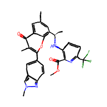 COC(=O)c1nc(C(F)(F)F)ccc1N[C@H](C)c1cc(C)cc2c(=O)c(C)c(-c3ccc4nn(C)cc4c3)oc12